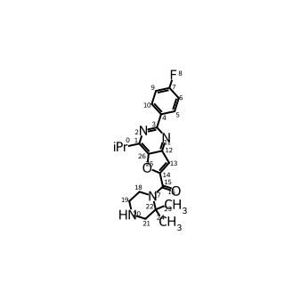 CC(C)c1nc(-c2ccc(F)cc2)nc2cc(C(=O)N3CCNCC3(C)C)oc12